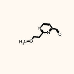 COCCc1nccc(C=O)n1